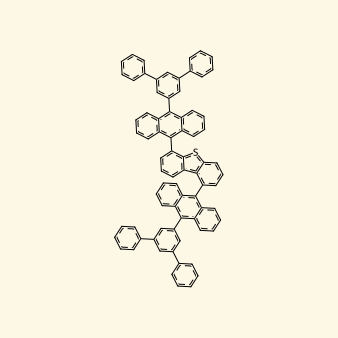 c1ccc(-c2cc(-c3ccccc3)cc(-c3c4ccccc4c(-c4cccc5c4sc4cccc(-c6c7ccccc7c(-c7cc(-c8ccccc8)cc(-c8ccccc8)c7)c7ccccc67)c45)c4ccccc34)c2)cc1